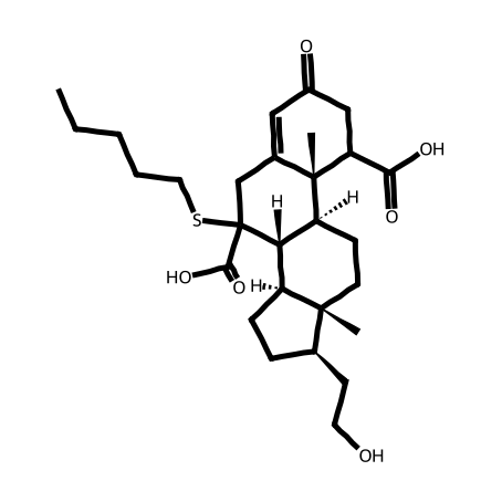 CCCCCSC1(C(=O)O)CC2=CC(=O)CC(C(=O)O)[C@]2(C)[C@H]2CC[C@]3(C)[C@@H](CCO)CC[C@H]3[C@@H]21